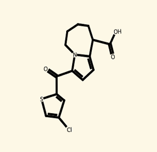 O=C(c1cc(Cl)cs1)c1ccc2n1CCCCC2C(=O)O